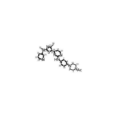 CC(=O)N1CCN(c2ccc(Nc3nccc(-c4sc(N(C)c5cccnc5)nc4C)n3)cc2)CC1